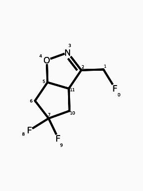 FCC1=NOC2CC(F)(F)CC12